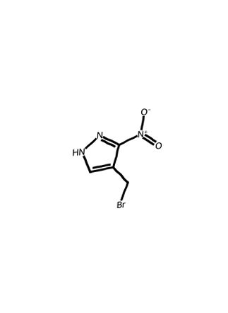 O=[N+]([O-])c1n[nH]cc1CBr